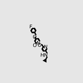 O=c1cc(OCc2ccc(F)cc2)ccn1OCc1ccc(CNCC2CC2)cn1